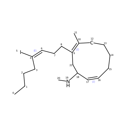 CCCC/C(I)=C\CC/C1=C(\C)CCCC/C=C\C(NC)C1